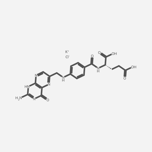 Nc1nc(=O)c2nc(CNc3ccc(C(=O)N[C@@H](CCC(=O)O)C(=O)O)cc3)cnc2[nH]1.[Cl-].[K+]